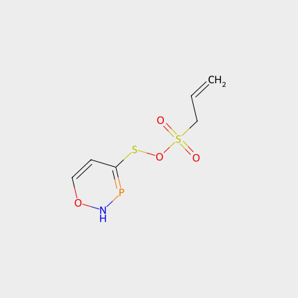 C=CCS(=O)(=O)OSC1=PNOC=C1